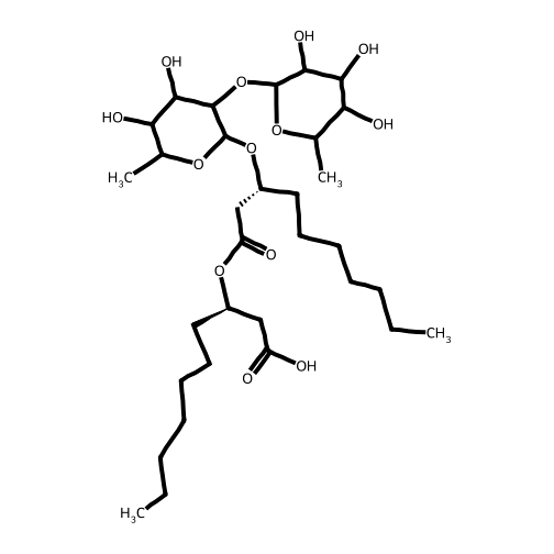 CCCCCCC[C@H](CC(=O)O)OC(=O)C[C@@H](CCCCCCC)OC1OC(C)C(O)C(O)C1OC1OC(C)C(O)C(O)C1O